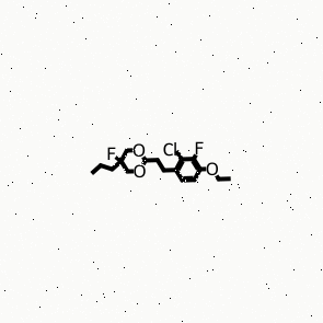 CCCC1(F)COC(CCc2ccc(OCC)c(F)c2Cl)OC1